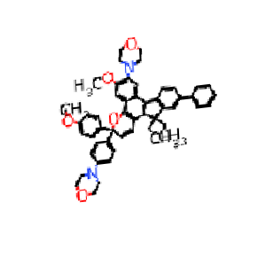 CCC1(CC)c2cc(-c3ccccc3)ccc2-c2c1c1c(c3cc(OC)c(N4CCOCC4)cc23)OC(c2ccc(OC)cc2)(c2ccc(N3CCOCC3)cc2)C=C1